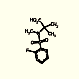 CN(C(C)(C)C(=O)O)S(=O)(=O)c1ccccc1F